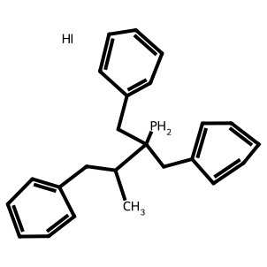 CC(Cc1ccccc1)C(P)(Cc1ccccc1)Cc1ccccc1.I